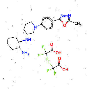 Cc1nnc(-c2ccc(N3CCCC(N[C@@H]4CCCC[C@H]4N)C3)cc2)o1.O=C(O)C(F)(F)F.O=C(O)C(F)(F)F